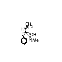 C=NNC(=O)Oc1ccccc1.CNCO